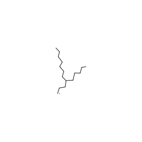 [CH2]CCC(CCCCC)CCCCCCC